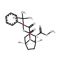 COC(=O)[C@H]1[C@H]2CC[C@@H](CN1C(=O)OC(C)(C)C)N2C(=O)OCc1ccccc1